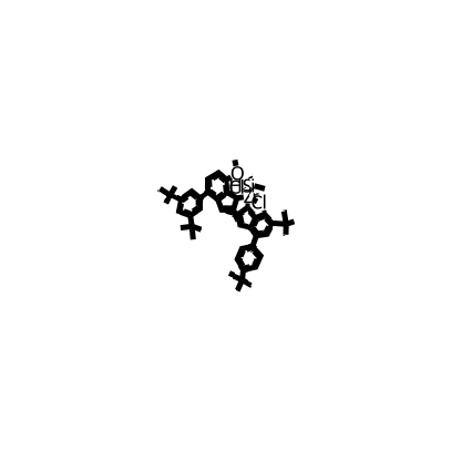 COc1ccc(-c2cc(C(C)(C)C)cc(C(C)(C)C)c2)c2c1[CH]([Zr]([Cl])([Cl])([CH]1C(C)=Cc3c(-c4ccc(C(C)(C)C)cc4)cc(C(C)(C)C)cc31)[SiH](C)C)C(C)=C2